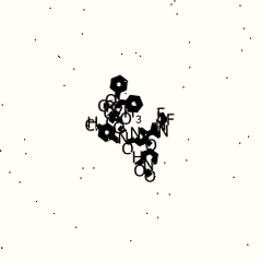 CC(C)(OP(=O)(OCc1ccccc1)OCc1ccccc1)C(=O)OCN(Cc1ccc(Cl)cc1)C(=O)c1cc(O[C@H]2CCN3C(=O)OC[C@@H]3C2)c(-c2cnn(C(F)F)c2)cn1